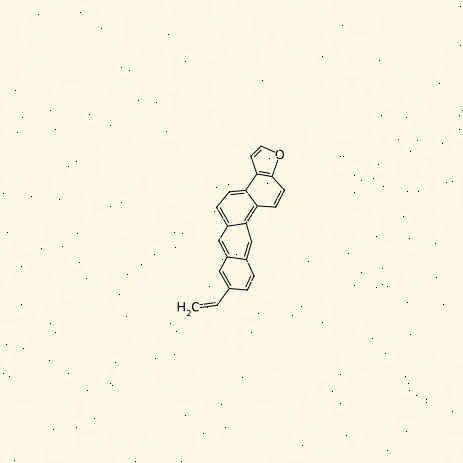 C=Cc1ccc2cc3c(ccc4c5ccoc5ccc34)cc2c1